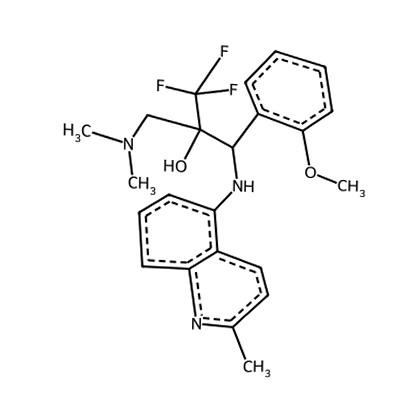 COc1ccccc1C(Nc1cccc2nc(C)ccc12)C(O)(CN(C)C)C(F)(F)F